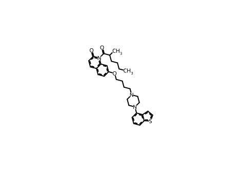 CCCCC(C)C(=O)n1c(=O)ccc2ccc(OCCCCN3CCN(c4cccc5sccc45)CC3)cc21